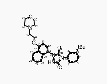 CC(C)(C)c1cccc(-n2c(=O)[nH]n(-c3ccc(OCCN4CCOCC4)c4ccccc34)c2=O)c1